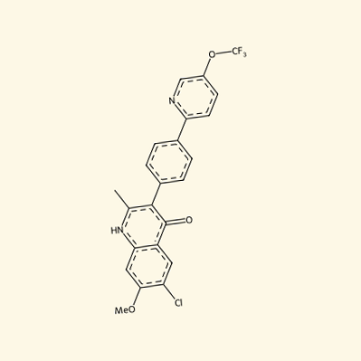 COc1cc2[nH]c(C)c(-c3ccc(-c4ccc(OC(F)(F)F)cn4)cc3)c(=O)c2cc1Cl